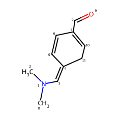 CN(C)C=C1C=CC([C]=O)=CC1